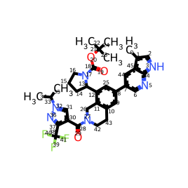 Cc1c[nH]c2ncc(-c3cc4c(c(C5CCCN5C(=O)OC(C)(C)C)c3)CN(C(=O)c3cn(C(C)C)nc3C(F)(F)F)CC4)cc12